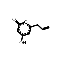 C=CCc1cc(O)cc(=O)o1